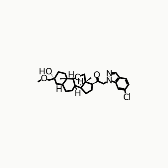 COC[C@@]1(O)CC[C@@]2(C)[C@@H](CC[C@@H]3[C@@H]2CC[C@]2(C)[C@@H](C(=O)Cn4ncc5ccc(Cl)cc54)CC[C@@H]32)C1